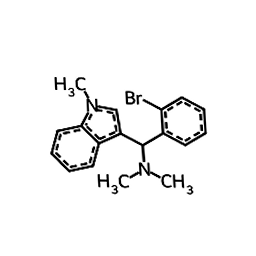 CN(C)C(c1ccccc1Br)c1cn(C)c2ccccc12